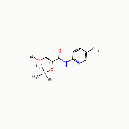 CCOC[C@H](O[Si](C)(C)C(C)(C)C)C(=O)Nc1ccc(C)cn1